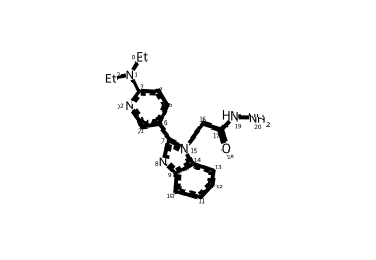 CCN(CC)c1ccc(-c2nc3ccccc3n2CC(=O)NN)cn1